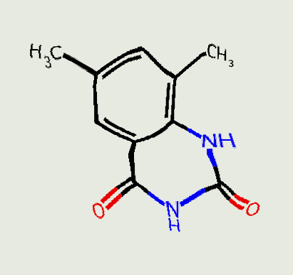 Cc1cc(C)c2[nH]c(=O)[nH]c(=O)c2c1